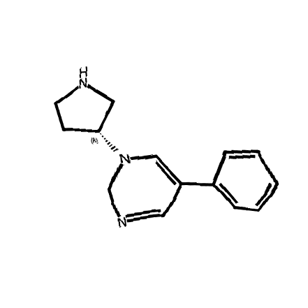 C1=NCN([C@@H]2CCNC2)C=C1c1ccccc1